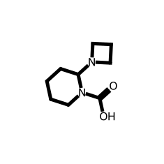 O=C(O)N1CCCCC1N1CCC1